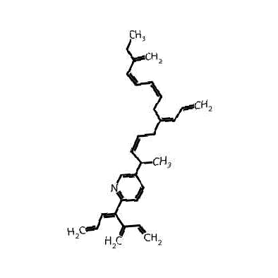 C=C/C=C(\C/C=C\C=C/C(=C)CC)C/C=C\C(C)c1ccc(/C(=C/C=C)C(=C)C=C)nc1